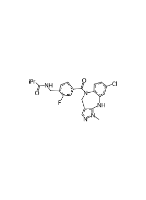 CC(C)C(=O)NCc1ccc(C(=O)N2Cc3cnn(C)c3Nc3cc(Cl)ccc32)cc1F